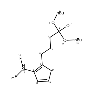 CCCCOC([O])(CCCC1=C([SiH](F)F)C=CC1)OCCCC